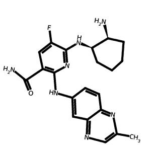 Cc1cnc2cc(Nc3nc(N[C@@H]4CCCC[C@@H]4N)c(F)cc3C(N)=O)ccc2n1